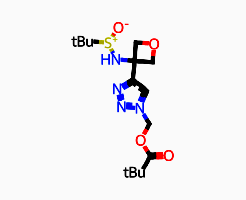 CC(C)(C)C(=O)OCn1cc(C2(N[S+]([O-])C(C)(C)C)COC2)nn1